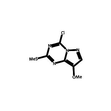 COc1cnn2c(Cl)nc(SC)nc12